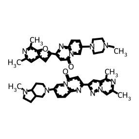 CCN1CCN(c2ccc3nc(-c4cc5cc(C)nc(C)c5o4)cc(=O)n3c2)CC1.Cc1cn2nc(-c3cc(=O)n4cc(N5CCC6C(CCN6C)C5)ccc4n3)cc2c(C)n1